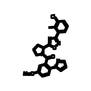 COc1ccc(-n2cccn2)c(C(=O)N2CCCC2c2nc(-c3cccc(Cl)c3C)no2)c1